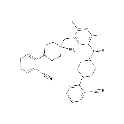 Cc1cc(C)c(C(=O)N2CCN(c3ccccc3C#N)CC2)cc1CC1(N)CCN(c2ccccc2C#N)CC1